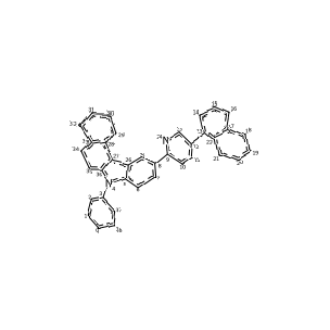 c1ccc(-n2c3ccc(-c4ccc(-c5cccc6ccccc56)cn4)cc3c3c4ccccc4ccc32)cc1